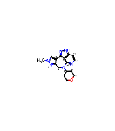 Cn1cc2c(n1)CN(C1CCOCC1)c1nccc3[nH]nc-2c13